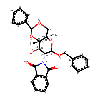 O=C1c2ccccc2C(=O)N1[C@H]1C(OCc2ccccc2)O[C@@H]2COC(c3ccccc3)O[C@H]2[C@@H]1O